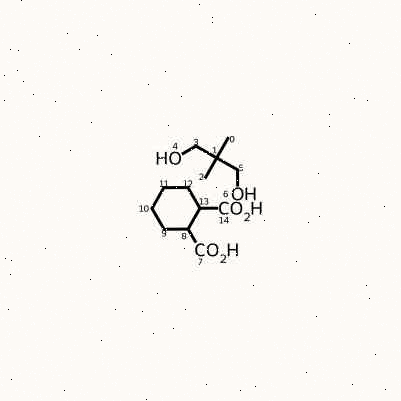 CC(C)(CO)CO.O=C(O)C1CCCCC1C(=O)O